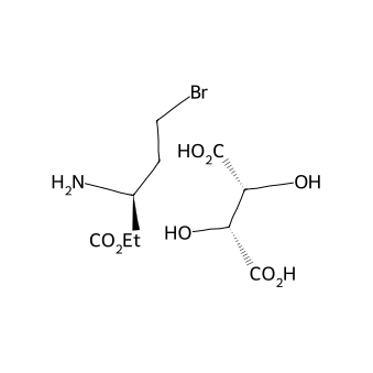 CCOC(=O)[C@@H](N)CCBr.O=C(O)[C@H](O)[C@@H](O)C(=O)O